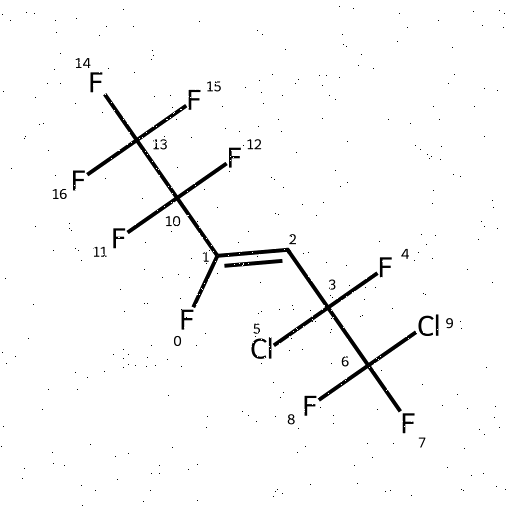 FC(=CC(F)(Cl)C(F)(F)Cl)C(F)(F)C(F)(F)F